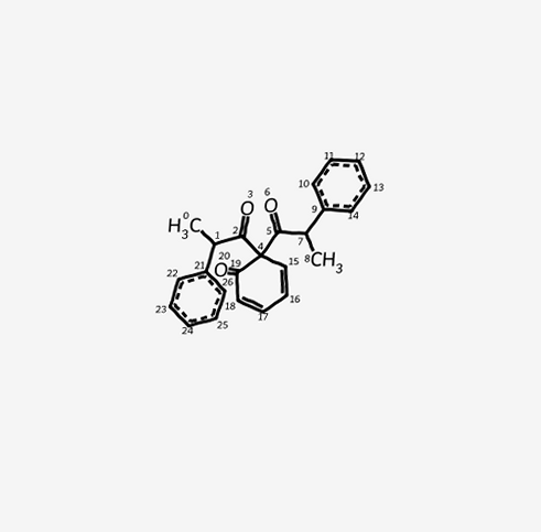 CC(C(=O)C1(C(=O)C(C)c2ccccc2)C=CC=CC1=O)c1ccccc1